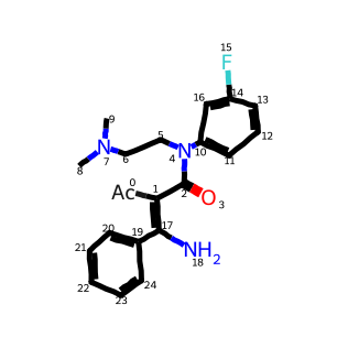 CC(=O)/C(C(=O)N(CCN(C)C)c1cccc(F)c1)=C(/N)c1ccccc1